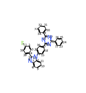 Fc1ccc(-c2nc3ccccc3n2-c2ccc(-c3nc(-c4ccccc4)nc(-c4ccccc4)n3)cc2)cc1